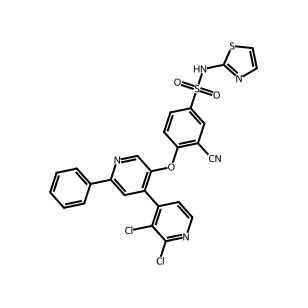 N#Cc1cc(S(=O)(=O)Nc2nccs2)ccc1Oc1cnc(-c2ccccc2)cc1-c1ccnc(Cl)c1Cl